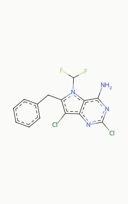 Nc1nc(Cl)nc2c(Cl)c(Cc3ccccc3)n(C(F)F)c12